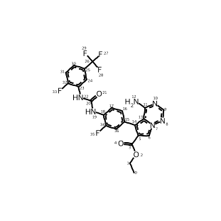 CCOC(=O)c1cn2ncnc(N)c2c1-c1ccc(NC(=O)Nc2cc(C(F)(F)F)ccc2F)c(F)c1